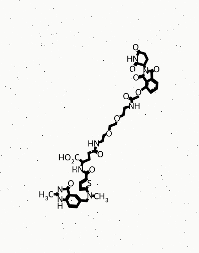 Cc1nc(=O)c2cc(CN(C)c3ccc(C(=O)NC(CCC(=O)NCCOCCOCCNC(=O)COc4cccc5c4C(=O)N(C4CCC(=O)NC4=O)C5=O)C(=O)O)s3)ccc2[nH]1